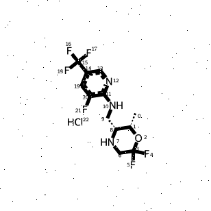 C[C@@H]1OC(F)(F)CN[C@@H]1CNc1ncc(C(F)(F)F)cc1F.Cl